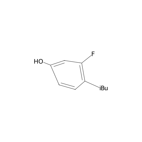 CCC(C)c1ccc(O)cc1F